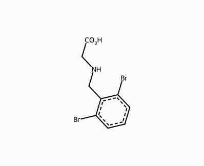 O=C(O)CNCc1c(Br)cccc1Br